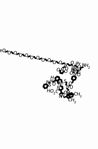 COCCOCCOCCOCCOCCOCCOCCOCCOCCOCCOCCN(CCC(=O)N[C@H](C(=O)N[C@@H](CCCN)C(=O)N(C(N)=O)c1ccc(COC(=O)N(CCOC23CC4(C)CC(C)(CC(Cn5ncc(-c6ccc(N7CCc8cccc(C(=O)Nc9nc%10ccccc%10s9)c8C7)nc6C(=O)O)c5C)(C4)C2)C3)CCS(=O)(=O)O)cc1)C(C)C)C(=O)CN1C(=O)C=CC1=O